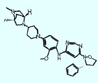 COc1cc(N2CCC(N3C[C@H]4C[C@@H]3CN4C)CC2)ccc1Nc1cc(N2OCC[C@@H]2c2ccccc2)ncn1